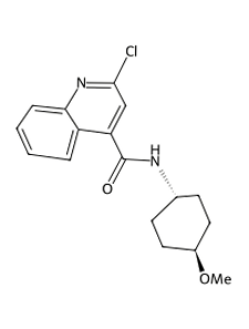 CO[C@H]1CC[C@H](NC(=O)c2cc(Cl)nc3ccccc23)CC1